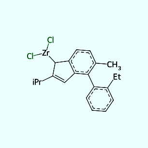 CCc1ccccc1-c1c(C)ccc2c1C=C(C(C)C)[CH]2[Zr]([Cl])[Cl]